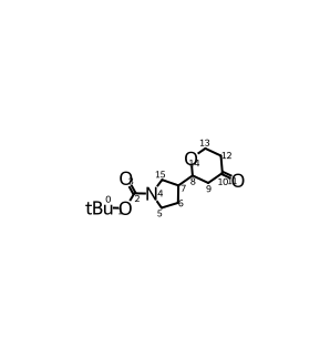 CC(C)(C)OC(=O)N1CCC(C2CC(=O)CCO2)C1